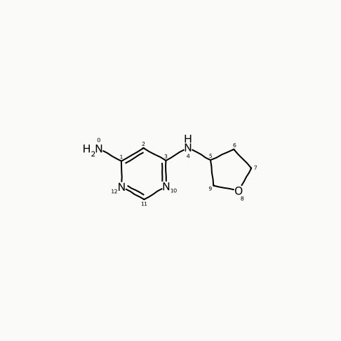 Nc1cc(NC2CCOC2)ncn1